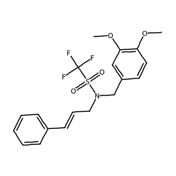 COc1ccc(CN(CC=Cc2ccccc2)S(=O)(=O)C(F)(F)F)cc1OC